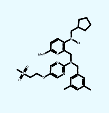 CCN(CC1CCCC1)c1ccc(OC)nc1CN(Cc1cc(C)cc(C)c1)c1ncc(OCCS(C)(=O)=O)cn1